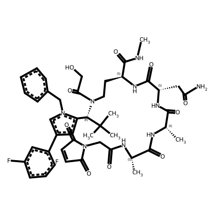 CNC(=O)[C@H](CCN(C(=O)CO)[C@@H](c1cc(-c2cc(F)ccc2F)cn1Cc1ccccc1)C(C)(C)C)NC(=O)[C@H](CC(N)=O)NC(=O)[C@H](C)NC(=O)[C@H](C)NC(=O)CN1C(=O)C=CC1=O